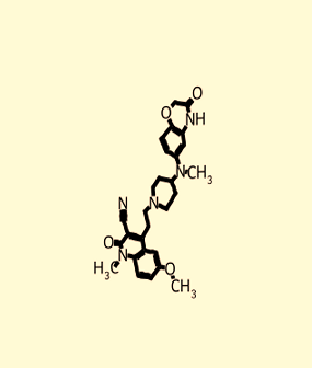 COc1ccc2c(c1)c(CCN1CCC(N(C)c3ccc4c(c3)NC(=O)CO4)CC1)c(C#N)c(=O)n2C